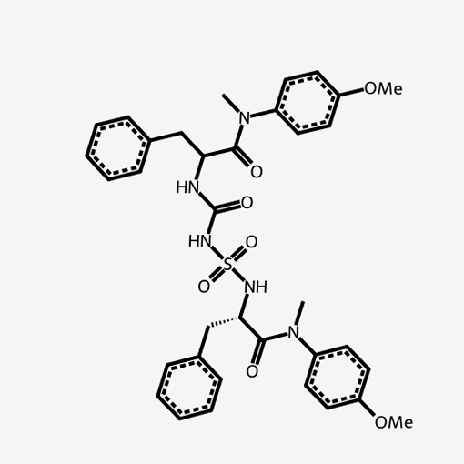 COc1ccc(N(C)C(=O)C(Cc2ccccc2)NC(=O)NS(=O)(=O)N[C@@H](Cc2ccccc2)C(=O)N(C)c2ccc(OC)cc2)cc1